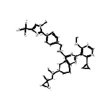 COc1ncnc(C2CC2)c1-c1nc2c(c(NCc3ccc(-c4nc(C(F)(F)F)cn4C)cc3)n1)CC(N(C)CC1(C)CO1)CC2